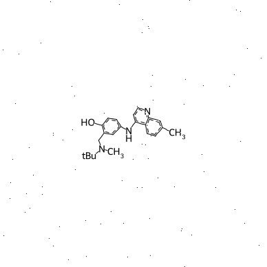 Cc1ccc2c(Nc3ccc(O)c(CN(C)C(C)(C)C)c3)ccnc2c1